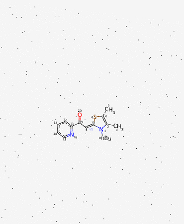 CCCCN1C(C)=C(C)S/C1=C\C(=O)c1ccccn1